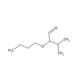 CCCCOC(C=O)C(C)C